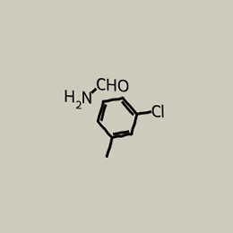 Cc1cccc(Cl)c1.NC=O